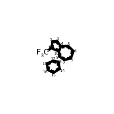 FC(F)(F)c1ccc2cccccc1-2.c1ccccc1